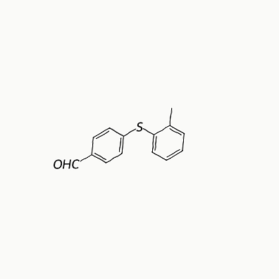 Cc1ccccc1Sc1ccc(C=O)cc1